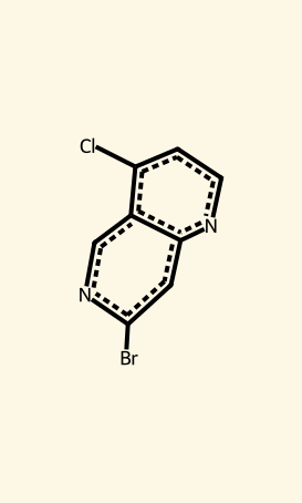 Clc1ccnc2cc(Br)ncc12